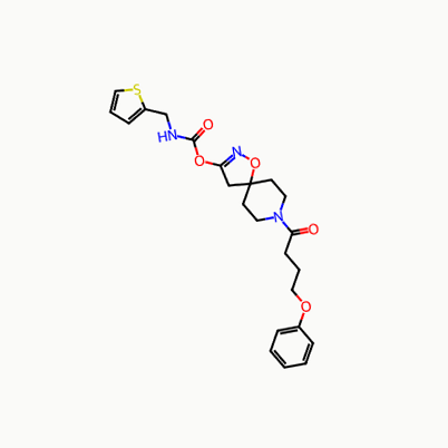 O=C(NCc1cccs1)OC1=NOC2(CCN(C(=O)CCCOc3ccccc3)CC2)C1